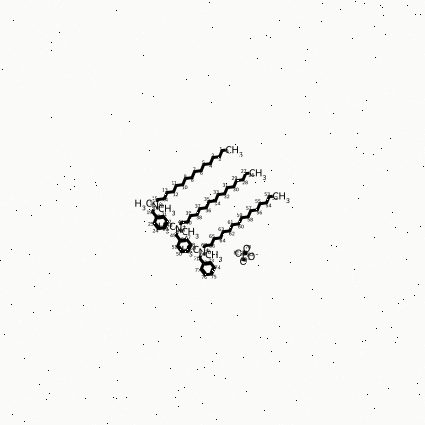 CCCCCCCCCCCCCCCC[N+](C)(C)Cc1ccccc1.CCCCCCCCCCCCCCCC[N+](C)(C)Cc1ccccc1.CCCCCCCCCCCCCCCC[N+](C)(C)Cc1ccccc1.O=P([O-])([O-])[O-]